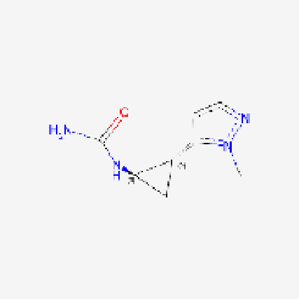 Cn1nccc1[C@@H]1C[C@H]1NC(N)=O